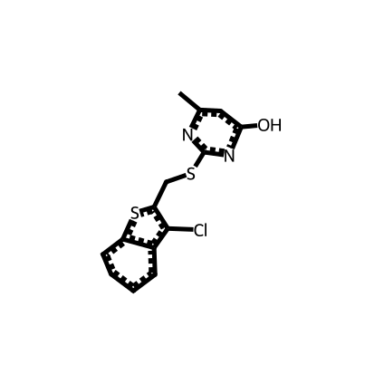 Cc1cc(O)nc(SCc2sc3ccccc3c2Cl)n1